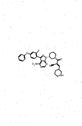 N#CC(=CC1CCCNC1)C(=O)N1CCC[C@@H](n2nc(-c3ccc(Oc4ccccc4)cc3F)c3c(N)ncnc32)C1